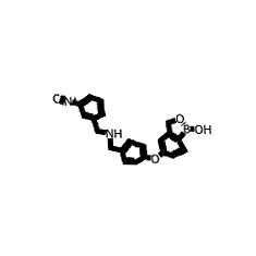 [C-]#[N+]c1cccc(CNCc2ccc(Oc3ccc4c(c3)COB4O)cc2)c1